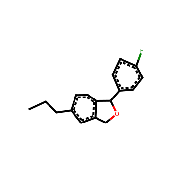 CCCc1ccc2c(c1)COC2c1ccc(F)cc1